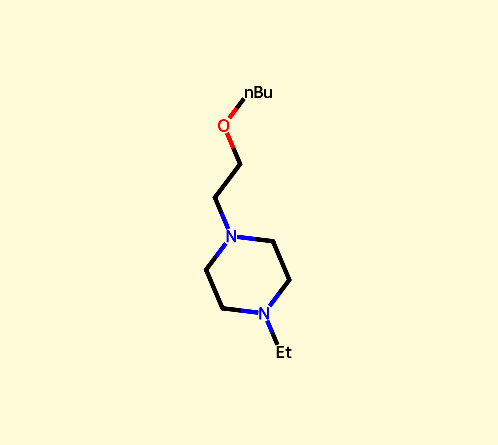 CCCCOCCN1CCN(CC)CC1